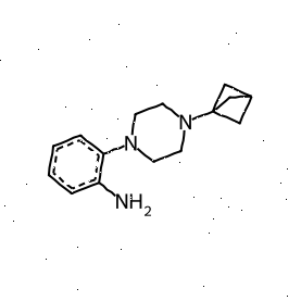 Nc1ccccc1N1CCN(C23CC(C2)C3)CC1